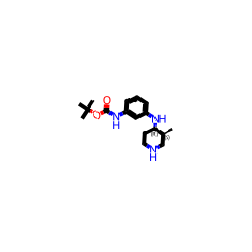 C[C@H]1CNCC[C@H]1Nc1cccc(NC(=O)OC(C)(C)C)c1